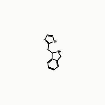 c1ccc2c(c1)CNC2Cc1ncc[nH]1